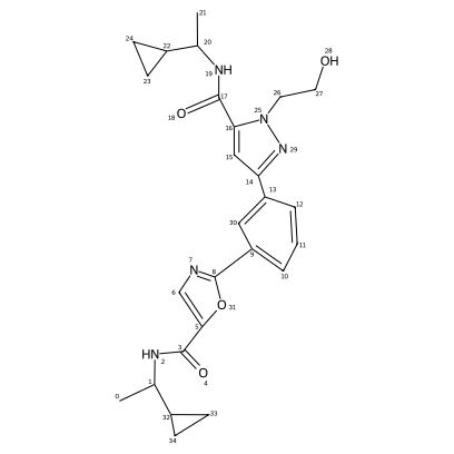 CC(NC(=O)c1cnc(-c2cccc(-c3cc(C(=O)NC(C)C4CC4)n(CCO)n3)c2)o1)C1CC1